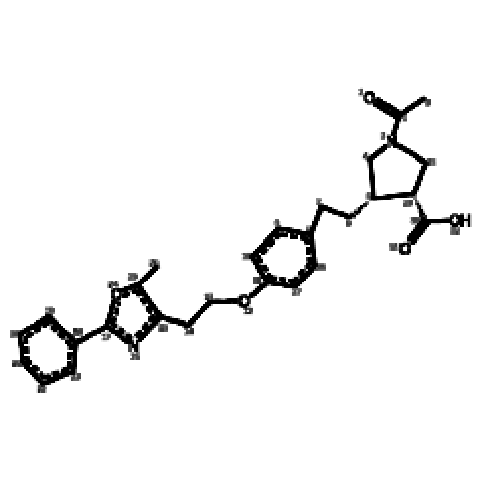 CC(=O)N1C[C@@H](CCc2ccc(OCCc3nc(-c4ccccc4)oc3C)cc2)[C@@H](C(=O)O)C1